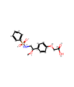 COC(CNS(=O)(=O)c1ccccc1)c1ccc(OCC(=O)O)cc1